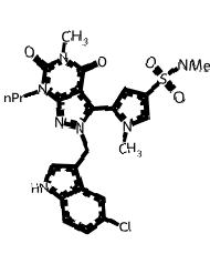 CCCn1c(=O)n(C)c(=O)c2c(-c3cc(S(=O)(=O)NC)cn3C)n(Cc3c[nH]c4ccc(Cl)cc34)nc21